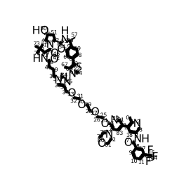 Cc1ncc(NC(=O)c2cccc(C(F)(F)F)c2)cc1-c1cnc(OCCOCCOCCOCc2cn(CCCC(=O)N[C@@H](C(=O)N3C[C@H](O)C[C@H]3C(=O)N[C@@H](C)c3ccc(-c4scnc4C)cc3)C(C)(C)C)nn2)c(N2CCOCC2)c1